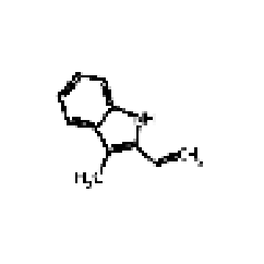 C=Cc1[nH]c2ccccc2c1C